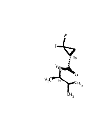 CC(C)[C@@H](C)NC(=O)[C@H]1CC1(F)F